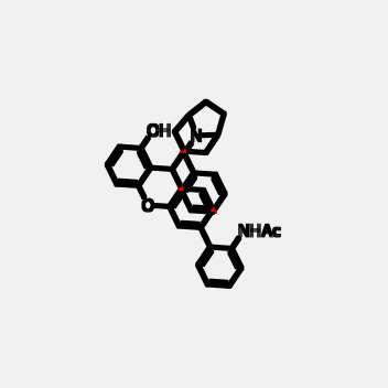 CC(=O)Nc1ccccc1-c1ccc2c(c1)Oc1cccc(O)c1C2C1CC2CCC(C1)N2Cc1ccccc1